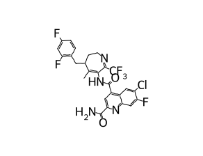 CC1=C(NC(=O)c2cc(C(N)=O)nc3cc(F)c(Cl)cc23)C(C(F)(F)F)=NCCC1Cc1ccc(F)cc1F